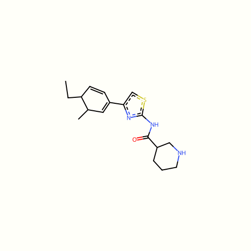 CCC1C=CC(c2csc(NC(=O)C3CCCNC3)n2)=CC1C